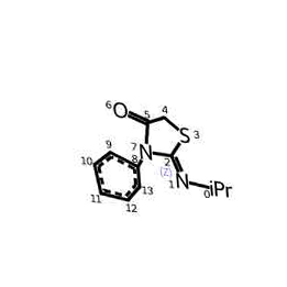 CC(C)/N=C1\SCC(=O)N1c1ccccc1